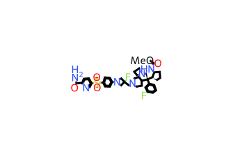 COC(=O)N[C@H]1CCC[C@@H]1[C@](CN1CCC1)(c1cccc(F)c1)C1CCN(CC2(F)CN(c3ccc(S(=O)(=O)c4ccc(C(N)=O)nc4)cc3)C2)CC1